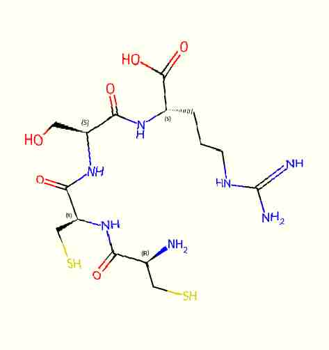 N=C(N)NCCC[C@H](NC(=O)[C@H](CO)NC(=O)[C@H](CS)NC(=O)[C@@H](N)CS)C(=O)O